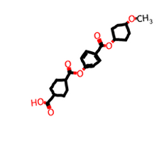 COC1CCC(OC(=O)c2ccc(OC(=O)C3CCC(C(=O)O)CC3)cc2)CC1